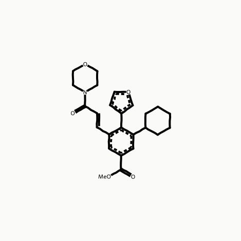 COC(=O)c1cc(C=CC(=O)N2CCOCC2)c(-c2ccoc2)c(C2CCCCC2)c1